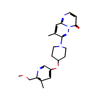 COCc1ncc(OC2CCN(c3nn4c(=O)ccnc4cc3C)CC2)cc1C